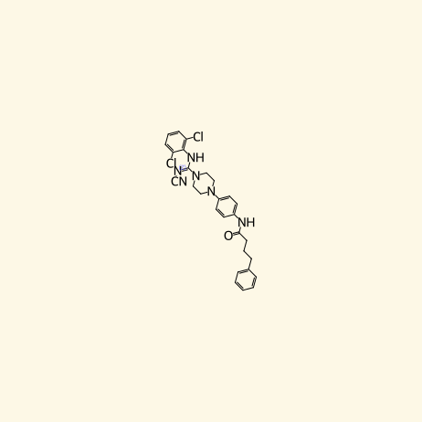 N#C/N=C(/Nc1c(Cl)cccc1Cl)N1CCN(c2ccc(NC(=O)CCCc3ccccc3)cc2)CC1